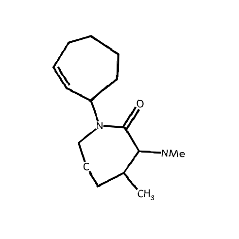 CNC1C(=O)N(C2C=CCCCC2)CCCC1C